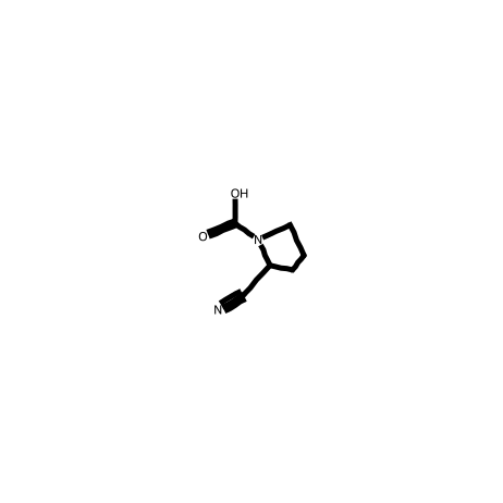 N#CC1CCCN1C(=O)O